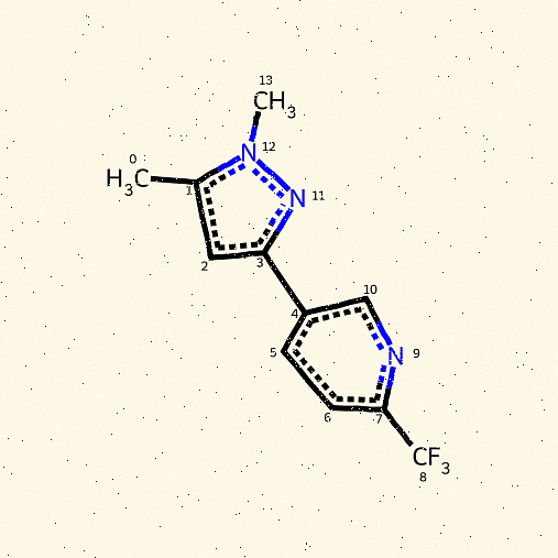 Cc1cc(-c2ccc(C(F)(F)F)nc2)nn1C